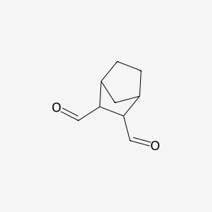 O=CC1C2CCC(C2)C1C=O